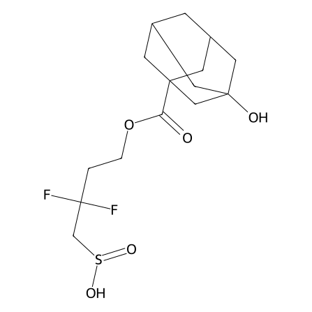 O=C(OCCC(F)(F)CS(=O)O)C12CC3CC(CC(O)(C3)C1)C2